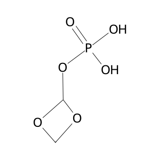 O=P(O)(O)OC1OCO1